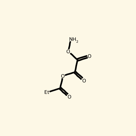 CCC(=O)OC(=O)C(=O)ON